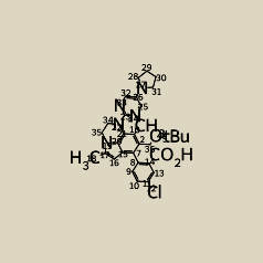 Cc1c([C@H](OC(C)(C)C)C(=O)O)c(-c2ccc(Cl)cc2)c2cc(C)n3c2c1N(c1ncc(N2CCCC2)cn1)CC3